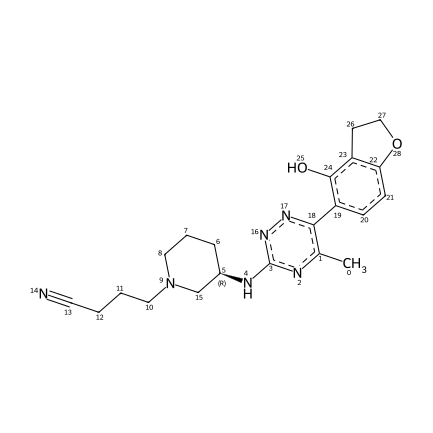 Cc1nc(N[C@@H]2CCCN(CCCC#N)C2)nnc1-c1ccc2c(c1O)CCO2